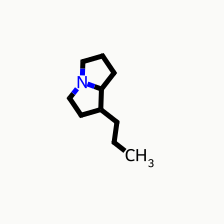 CCCC1CCN2CCCC12